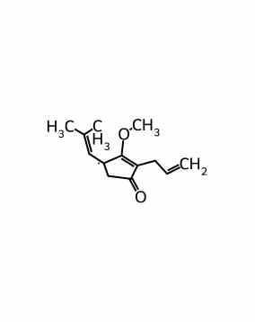 C=CCC1=C(OC)[C](C=C(C)C)CC1=O